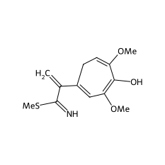 C=C(C(=N)SC)C1=CC(OC)=C(O)C(OC)=CC1